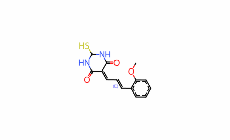 COc1ccccc1/C=C/C=C1C(=O)NC(S)NC1=O